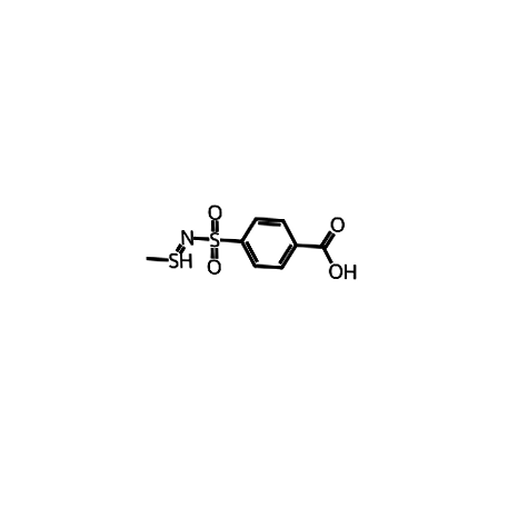 C[SH]=NS(=O)(=O)c1ccc(C(=O)O)cc1